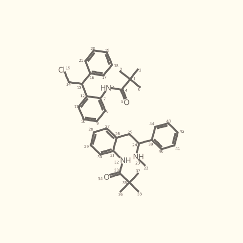 CC(C)(C)C(=O)Nc1ccccc1C(CCl)c1ccccc1.CNC(Cc1ccccc1NC(=O)C(C)(C)C)c1ccccc1